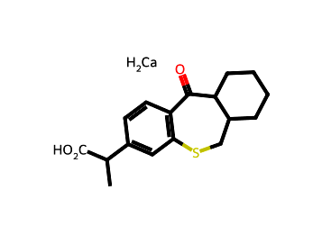 CC(C(=O)O)c1ccc2c(c1)SCC1CCCCC1C2=O.[CaH2]